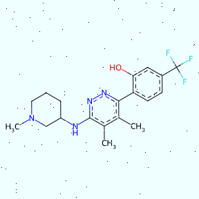 Cc1c(NC2CCCN(C)C2)nnc(-c2ccc(C(F)(F)F)cc2O)c1C